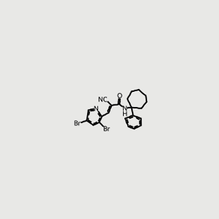 N#CC(=Cc1ncc(Br)cc1Br)C(=O)NC1(c2ccccc2)CCCCCC1